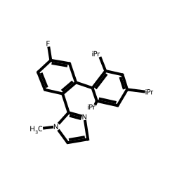 CC(C)c1cc(C(C)C)c(-c2cc(F)ccc2-c2nccn2C)c(C(C)C)c1